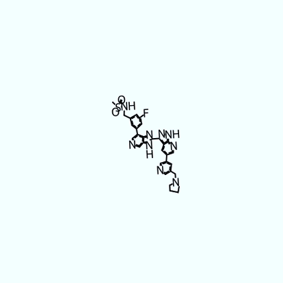 CS(=O)(=O)NCc1cc(F)cc(-c2cncc3[nH]c(-c4n[nH]c5ncc(-c6cncc(CN7CCCC7)c6)cc45)nc23)c1